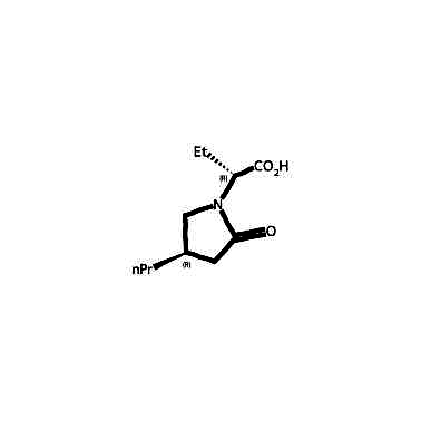 CCC[C@@H]1CC(=O)N([C@H](CC)C(=O)O)C1